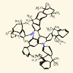 Cc1ccccc1-c1cc2c3c(c1)N(c1cc4c(cc1C)C(C)(C)CCC4(C)C)c1cc4c(cc1B3c1cc3c(cc1N2c1ccc2c(c1)C(C)(C)c1ccccc1C2(C)C)C(C)(C)c1ccccc1C3(C)C)-c1cc2c(cc1C4(C)C)C(C)(C)CCC2(C)C